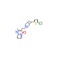 Cc1nc2ccccn2c(=O)c1CCN1CC2CC(c3ccc(Cl)s3)C2C1